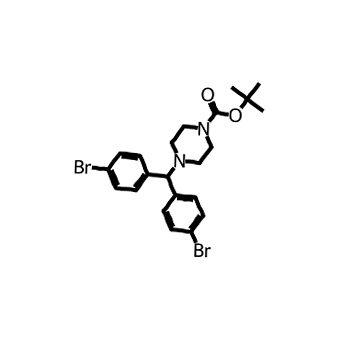 CC(C)(C)OC(=O)N1CCN(C(c2ccc(Br)cc2)c2ccc(Br)cc2)CC1